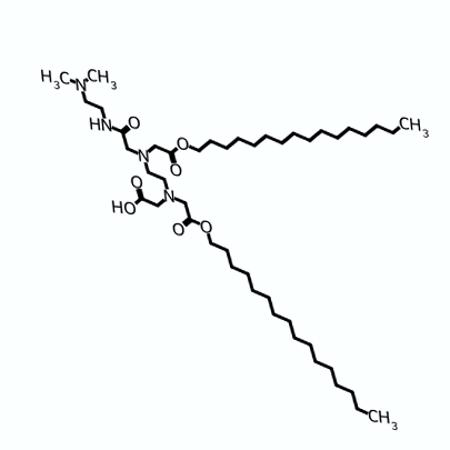 CCCCCCCCCCCCCCCCOC(=O)CN(CCN(CC(=O)NCCN(C)C)CC(=O)OCCCCCCCCCCCCCCCC)CC(=O)O